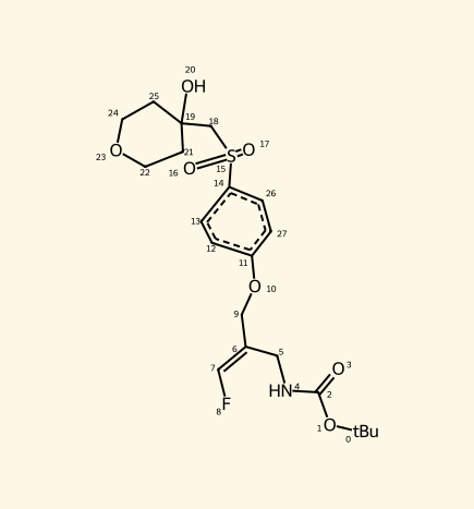 CC(C)(C)OC(=O)NC/C(=C\F)COc1ccc(S(=O)(=O)CC2(O)CCOCC2)cc1